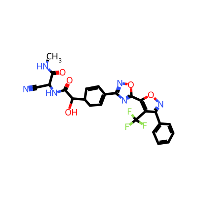 CNC(=O)C(C#N)NC(=O)C(O)C1C=CC(c2noc(-c3onc(-c4ccccc4)c3C(F)(F)F)n2)=CC1